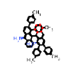 Cc1ccc(-c2cc3cc4ccccc4c(-c4c5ccccc5c(N)c5ccc(-c6ccc(C)cc6)c(-c6ccc(C)cc6)c45)c3c(N)c2-c2ccc(C)cc2)cc1